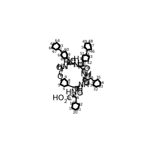 O=C1COc2ccc(cc2)C[C@@H](C(=O)N[C@@H](Cc2ccccc2)C(=O)O)NC(=O)[C@H](CCc2ccccc2)NC(=O)[C@@H](Cc2ccc(-c3ccccc3)cc2)NC(=O)[C@H](Cc2ccc(-c3ccccc3)cc2)N1